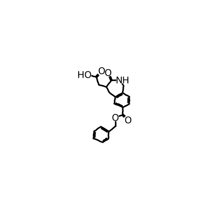 O=C(O)CC1Cc2cc(C(=O)OCc3ccccc3)ccc2CNC1=O